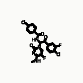 CNc1nc(=O)n(C(NC(=O)c2ccc(Cl)cc2)C(=O)c2ccc(Cl)c(F)c2)cc1F